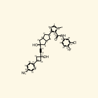 Cn1cnc(C2CC3CC(O)(C#CC4(O)CC(c5ccc(C#N)cn5)C4)CC3C2)c1C(=O)Nc1ccc(F)c(Cl)c1